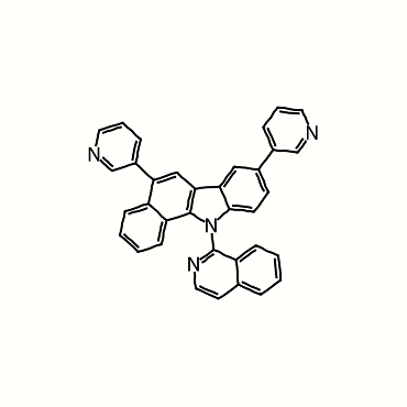 c1cncc(-c2ccc3c(c2)c2cc(-c4cccnc4)c4ccccc4c2n3-c2nccc3ccccc23)c1